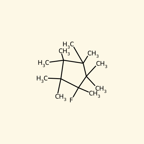 CC1(C)C(C)(C)C(C)(C)C(C)(F)C1(C)C